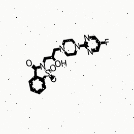 O=C1c2ccccc2S(=O)(=O)N1CC(O)CN1CCN(c2ncc(F)cn2)CC1